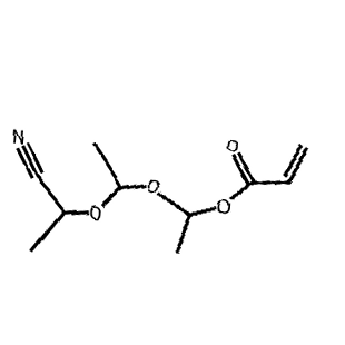 C=CC(=O)OC(C)OC(C)OC(C)C#N